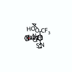 O=C(O)N1C2CC1CN(c1nc3c(C(OCC4(O)CC4)C(F)(F)F)ccc(-c4nccs4)c3o1)C2